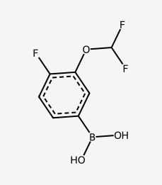 OB(O)c1ccc(F)c(OC(F)F)c1